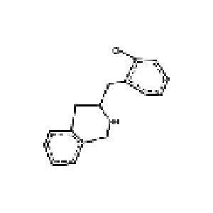 Clc1ccccc1CC1Cc2ccccc2CN1